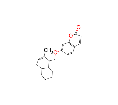 CC1=CCC2CCCCC2C1COc1ccc2ccc(=O)oc2c1